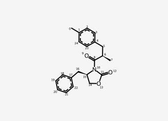 Cc1ccc(C[C@@H](C)C(=O)N2C(=O)OC[C@H]2Cc2ccccc2)cc1